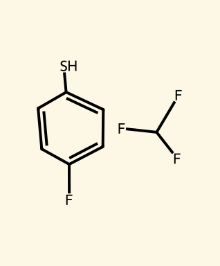 FC(F)F.Fc1ccc(S)cc1